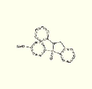 COc1ccc(P2(=O)c3ccccc3CN2c2ccccc2)cc1